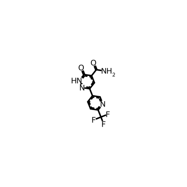 NC(=O)c1cc(-c2ccc(C(F)(F)F)nc2)n[nH]c1=O